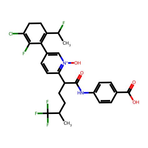 CC(F)C1=C(c2ccc(C(CCC(C)C(F)(F)F)C(=O)Nc3ccc(C(=O)O)cc3)[n+](O)c2)C(F)=C(Cl)CC1